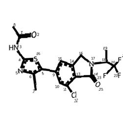 CC(=O)Nc1nc(C)c(-c2cc(Cl)c3c(c2)CN(C(C)C(F)(F)F)C3=O)s1